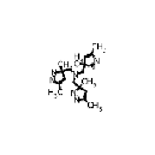 CC1=CC(C)(CN(CC2(C)C=C(C)N=N2)CC2(C)C=C(C)N=N2)N=N1